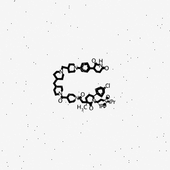 CC(C)[C@@H](CS(=O)(=O)C(C)C)N1C(=O)[C@@](C)(CC(=O)N2CCC(C(=O)N3CCC(CC4CCN(CC5CCN(c6ccc(C7CCC(=O)NC7=O)cc6)CC5)CC4)CC3)CC2)CC[C@H]1c1ccc(Cl)cc1